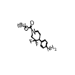 CC(C)(C)OC(=O)N1CCC(c2ccc(N)cc2)C(F)(F)C1